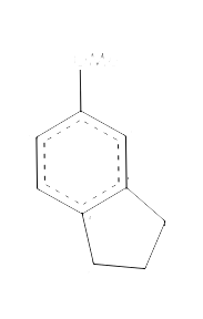 COc1ccc2c(c1)[CH]CC2